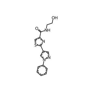 O=C(NCCO)c1csc(-c2cnn(-c3ccccc3)c2)n1